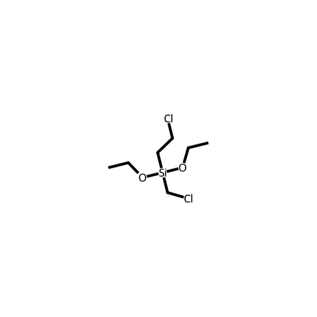 CCO[Si](CCl)(CCCl)OCC